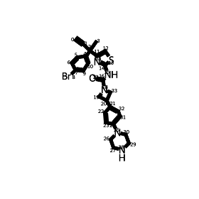 C#CC(C)(c1ccc(Br)cc1)c1csc(NC(=O)N2CC(c3ccc(N4CCNCC4)cc3)C2)n1